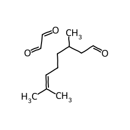 CC(C)=CCCC(C)CC=O.O=CC=O